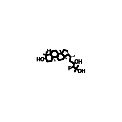 C[C@H](CC(O)C(F)C(C)(C)O)[C@H]1CC[C@@]2(C)C3=C(CC[C@]12C)[C@@]1(C)CC[C@H](O)C(C)(C)[C@@H]1CC3